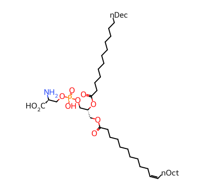 CCCCCCCC/C=C\CCCCCCCCCC(=O)OC[C@H](COP(=O)(O)OC[C@H](N)C(=O)O)OC(=O)CCCCCCCCCCCCCCCCCCCCC